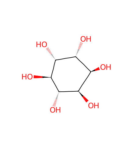 O[C@H]1[C@H](O)[C@@H](O)[C@H](O)[C@H](O)[C@H]1O